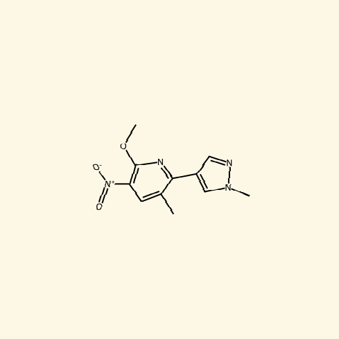 COc1nc(-c2cnn(C)c2)c(C)cc1[N+](=O)[O-]